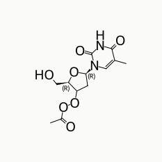 CC(=O)OOC1C[C@H](n2cc(C)c(=O)[nH]c2=O)O[C@@H]1CO